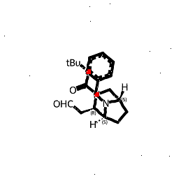 CC(C)(C)OC(=O)N1C[C@@H]2CC[C@@H]([C@H]1CC=O)N2Cc1ccccc1